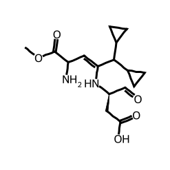 COC(=O)C(N)C=C(N[C@@H](C=O)CC(=O)O)C(C1CC1)C1CC1